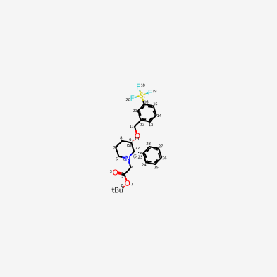 CC(C)(C)OC(=O)CN1CCC[C@H](OCc2cccc(S(F)(F)F)c2)[C@@H]1c1ccccc1